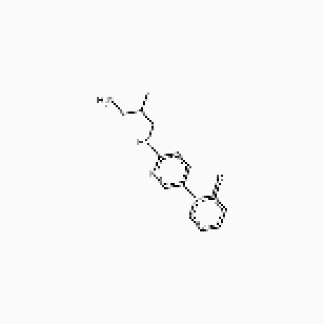 CC(CN)CNc1ccc(-n2ccccc2=O)cn1